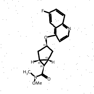 CON(C)C(=O)[C@H]1[C@@H]2C[C@@H](Oc3ccnc4ccc(F)cc34)C[C@@H]21